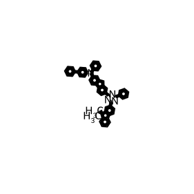 CC1(C)c2ccccc2-c2ccc(-c3nc(-c4ccccc4)nc(-c4ccc5c(c4)Cc4cc(N(c6ccccc6)c6ccc(-c7ccccc7)cc6)ccc4-5)n3)cc21